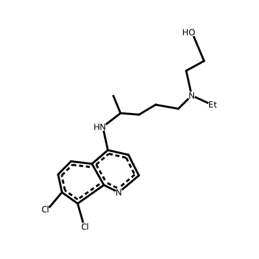 CCN(CCO)CCCC(C)Nc1ccnc2c(Cl)c(Cl)ccc12